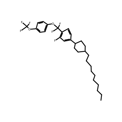 CCCCCCCCCCC1CCC(c2ccc(C(F)(F)Oc3ccc(OC(F)(F)F)cc3)c(F)c2)CC1